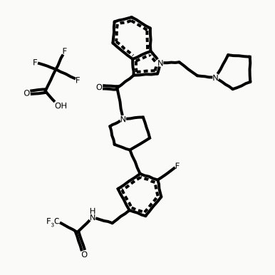 O=C(O)C(F)(F)F.O=C(c1cn(CCN2CCCC2)c2ccccc12)N1CCC(c2cc(CNC(=O)C(F)(F)F)ccc2F)CC1